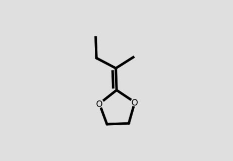 CCC(C)=C1OCCO1